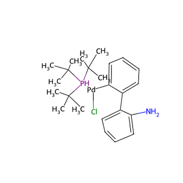 CC(C)(C)[PH]([Pd]([Cl])[c]1ccccc1-c1ccccc1N)(C(C)(C)C)C(C)(C)C